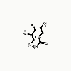 NC(=O)NCCO.OCC(O)CO